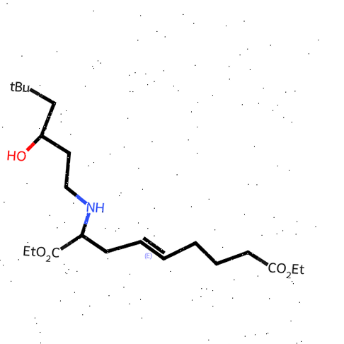 CCOC(=O)CCC/C=C/CC(NCCC(O)CC(C)(C)C)C(=O)OCC